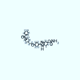 NC(=O)Oc1ccc2[nH]c(-c3ccc(OCCC4CCN(C(=O)c5ccccc5)CC4)cc3)nc2c1